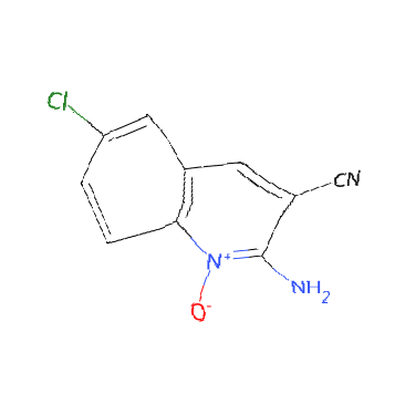 N#Cc1cc2cc(Cl)ccc2[n+]([O-])c1N